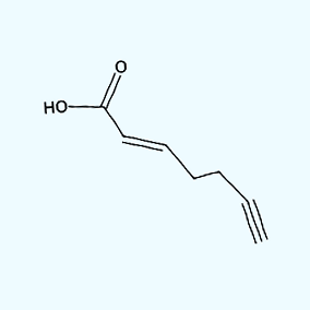 C#CCCC=CC(=O)O